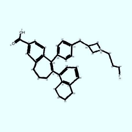 O=C(O)c1ccc2c(c1)CCCC(c1cccc3c1CCCC3)=C2c1ccc(CC2CN(CCCF)C2)cc1